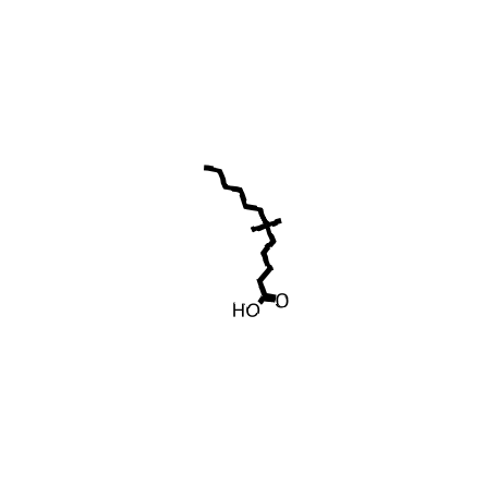 CCCCCCC(C)(C)CCCCC(=O)O